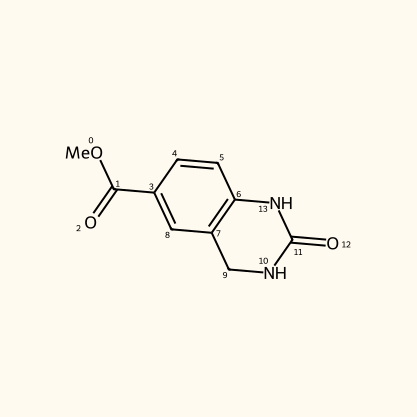 COC(=O)c1ccc2c(c1)CNC(=O)N2